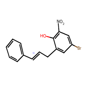 O=[N+]([O-])c1cc(Br)cc(C/C=C/c2ccccc2)c1O